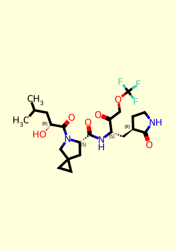 CC(C)C[C@@H](O)C(=O)N1CC2(CC2)C[C@H]1C(=O)N[C@@H](C[C@H]1CCNC1=O)C(=O)COC(F)(F)F